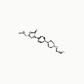 COCC1CN(c2ccc(C3CCC(OCSC)CC3)cc2)C(=O)O1